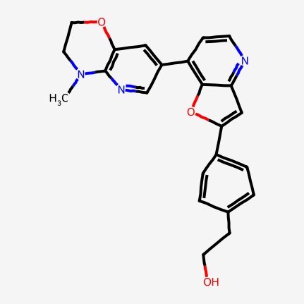 CN1CCOc2cc(-c3ccnc4cc(-c5ccc(CCO)cc5)oc34)cnc21